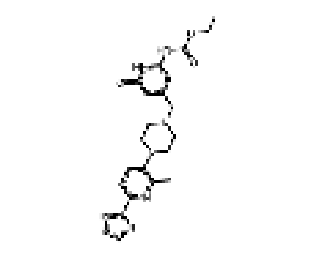 CCOC(=O)Nc1cc(CN2CCN(c3ccc(-c4ncc[nH]4)nc3C)CC2)cc(=O)[nH]1